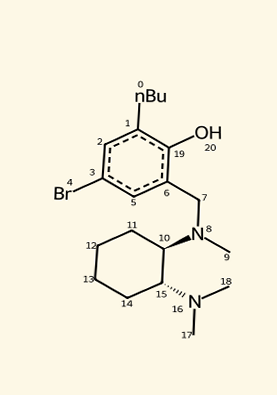 CCCCc1cc(Br)cc(CN(C)[C@@H]2CCCC[C@H]2N(C)C)c1O